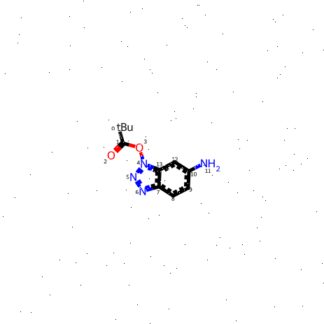 CC(C)(C)C(=O)On1nnc2ccc(N)cc21